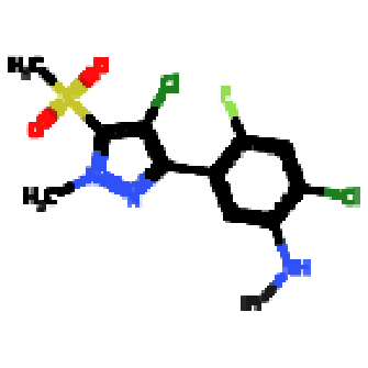 CC(C)Nc1cc(-c2nn(C)c(S(C)(=O)=O)c2Cl)c(F)cc1Cl